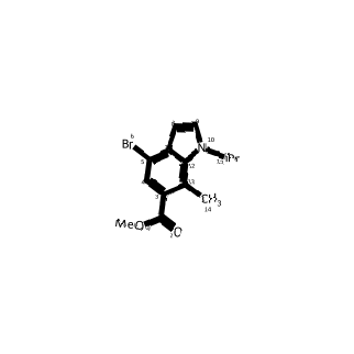 COC(=O)c1cc(Br)c2ccn(C(C)C)c2c1C